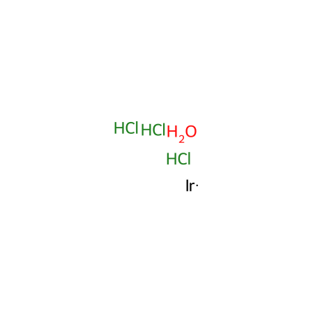 Cl.Cl.Cl.O.[Ir]